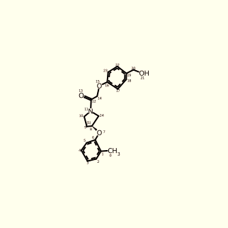 Cc1ccccc1O[C@H]1CCN(C(=O)COc2ccc(CO)cc2)C1